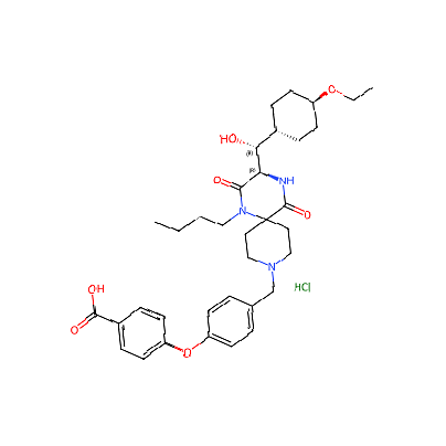 CCCCN1C(=O)[C@@H]([C@H](O)[C@H]2CC[C@H](OCC)CC2)NC(=O)C12CCN(Cc1ccc(Oc3ccc(C(=O)O)cc3)cc1)CC2.Cl